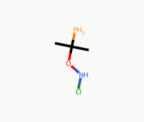 CC(C)(P)ONCl